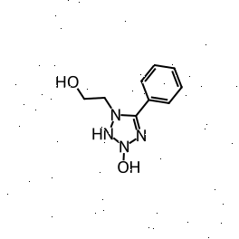 OCCN1NN(O)N=C1c1ccccc1